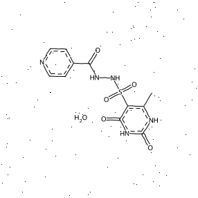 Cc1[nH]c(=O)[nH]c(=O)c1S(=O)(=O)NNC(=O)c1ccncc1.O